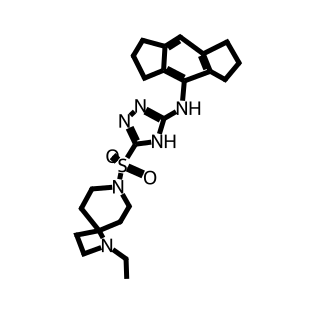 CCN1CCC12CCN(S(=O)(=O)c1nnc(Nc3c4c(cc5c3CCC5)CCC4)[nH]1)CC2